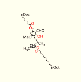 CCCCCCCC/C=C/CCCCCCCC(=O)OC(C=C(C)C)CC(C)=CCc1c(OC)cc(COC(=O)CCCCCCCCCCCCCCC)c(C=O)c1O